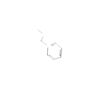 CCOC[n+]1ccccc1.[Br-]